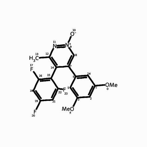 COc1cc(OC)cc(-c2c[n+]([O-])nc(C)c2-c2c(F)cc(F)cc2F)c1